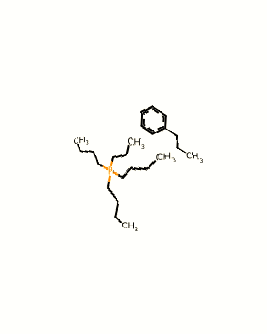 CCCC[P](CCC)(CCCC)CCCC.CCCc1ccccc1